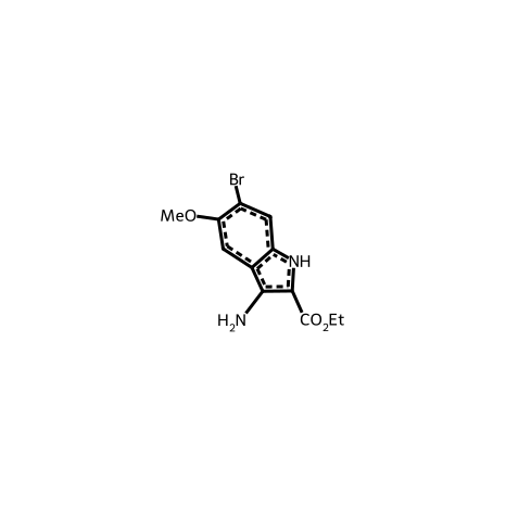 CCOC(=O)c1[nH]c2cc(Br)c(OC)cc2c1N